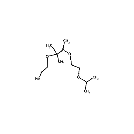 CC(C)OCCOP(C)C(C)(C)OCCO